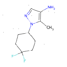 Cc1c(N)cnn1C1CCC(F)(F)CC1